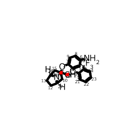 C[C@]1(Oc2ccc(N)cc2)C[C@H]2CC[C@@H](C1)N2CCOc1ccccc1C(F)(F)F